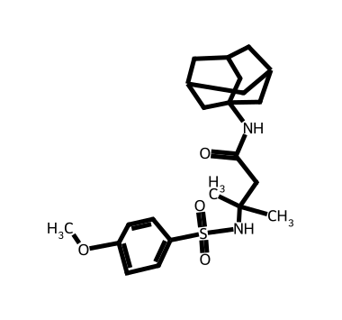 COc1ccc(S(=O)(=O)NC(C)(C)CC(=O)NC23CC4CC(CC(C4)C2)C3)cc1